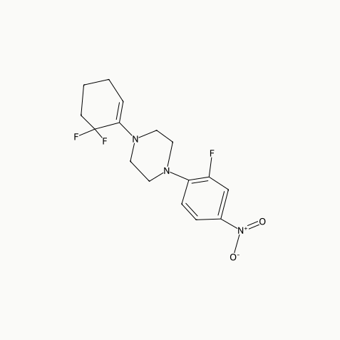 O=[N+]([O-])c1ccc(N2CCN(C3=CCCCC3(F)F)CC2)c(F)c1